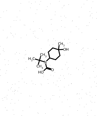 CC1(O)CCC(N(C(=O)O)C(C)(C)C)CC1